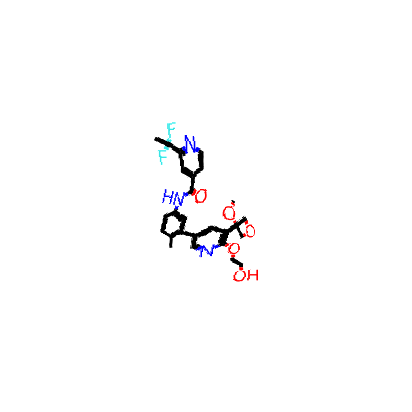 COC1(c2cc(-c3cc(NC(=O)c4ccnc(C(C)(F)F)c4)ccc3C)cnc2OCCO)COC1